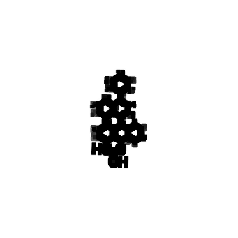 OB(O)Oc1c2ccccc2c(-c2ccc(-c3ccccc3)c3ccccc23)c2ccccc12